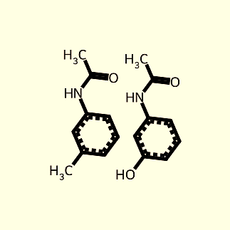 CC(=O)Nc1cccc(C)c1.CC(=O)Nc1cccc(O)c1